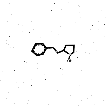 ON1CC[CH]C1CCc1ccccc1